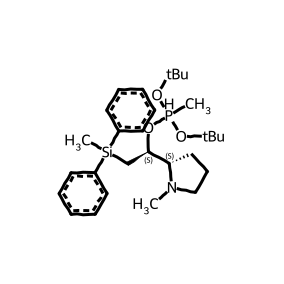 CN1CCC[C@H]1[C@@H](C[Si](C)(c1ccccc1)c1ccccc1)O[PH](C)(OC(C)(C)C)OC(C)(C)C